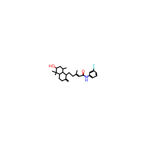 C=C1CCC2C(C(C)CC(O)C2(C)C)C1CC/C(C)=C/C(=O)Nc1cccc(F)c1